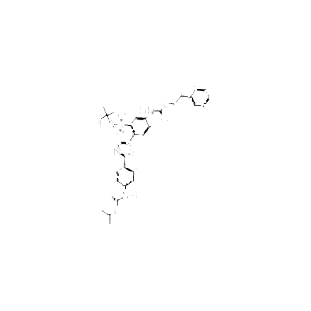 CC(C)OC(=O)Nc1ccc(-c2ncc(-c3ccc(NC(=O)OCCc4ccccc4)cc3S(=O)(=O)NC(C)(C)C)s2)cc1